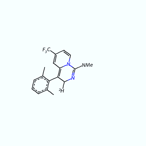 [2H]C1N=C(NC)N2C=CC(C(F)(F)F)=CC2=C1c1c(C)cccc1C